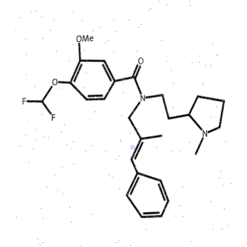 COc1cc(C(=O)N(CCC2CCCN2C)C/C(C)=C/c2ccccc2)ccc1OC(F)F